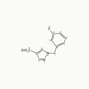 CCOC(=O)c1cnn(Cc2cccc(F)c2)c1